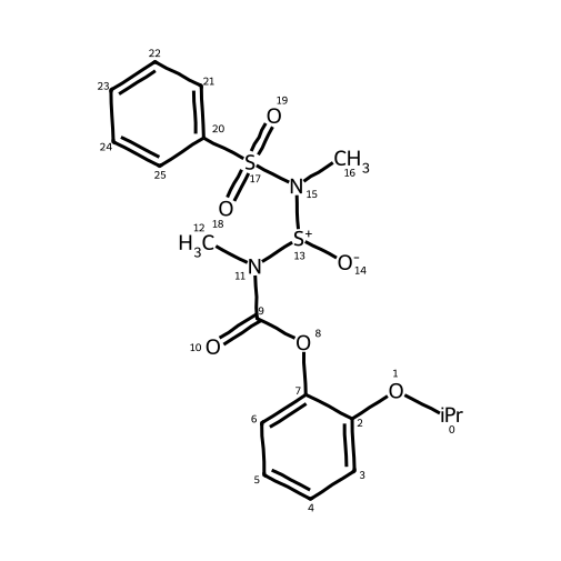 CC(C)Oc1ccccc1OC(=O)N(C)[S+]([O-])N(C)S(=O)(=O)c1ccccc1